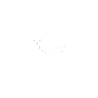 N#CC(C#N)=C1C=C(c2cc3c(s2)-c2sc(C4=CC(=C(C#N)C#N)CCC4)cc2C2(CCCCC2)O3)CCC1